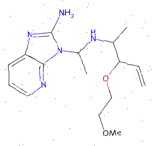 C=CC(OCCOC)C(C)NC(C)n1c(N)nc2cccnc21